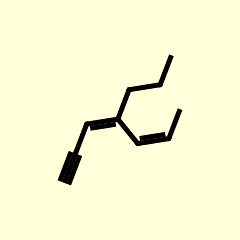 C#C/C=C(\C=C/C)CCC